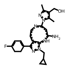 Cc1nn(-c2cc(N)[nH]c3c(ccn2)c(C2=CC=C(F)CC2)nn3CC2CC2)c(C)c1CO